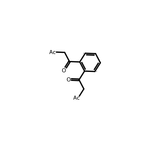 CC(=O)CC(=O)c1[c]cc[c]c1C(=O)CC(C)=O